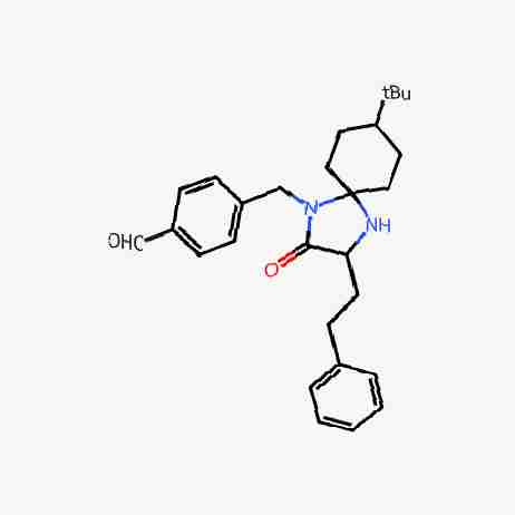 CC(C)(C)C1CCC2(CC1)NC(CCc1ccccc1)C(=O)N2Cc1ccc(C=O)cc1